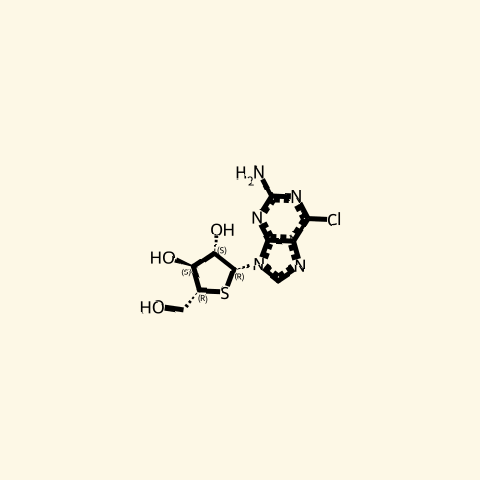 Nc1nc(Cl)c2ncn([C@@H]3S[C@H](CO)[C@@H](O)[C@@H]3O)c2n1